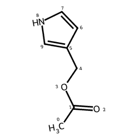 CC(=O)OCc1cc[nH]c1